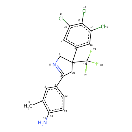 Cc1cc(C2=NCC(c3cc(Cl)c(Cl)c(Cl)c3)(C(F)(F)F)C2)ccc1N